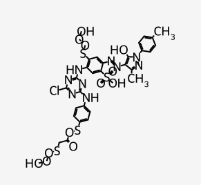 Cc1ccc(-n2nc(C)c(N=Nc3cc(SOOO)c(Nc4nc(Cl)nc(Nc5ccc(SOC(=O)CSOOO)cc5)n4)cc3S(=O)(=O)O)c2O)cc1